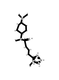 CN(C)C1CCC(N(C)C(=S)CCCc2nnnn2C)CC1